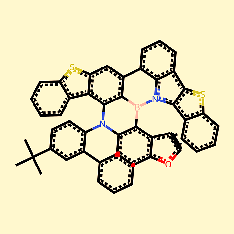 CC(C)(C)c1ccc(N2c3ccc4oc5ccccc5c4c3B3c4c(cc5sc6ccccc6c5c42)-c2cccc4c5sc6ccccc6c5n3c24)c(-c2ccccc2)c1